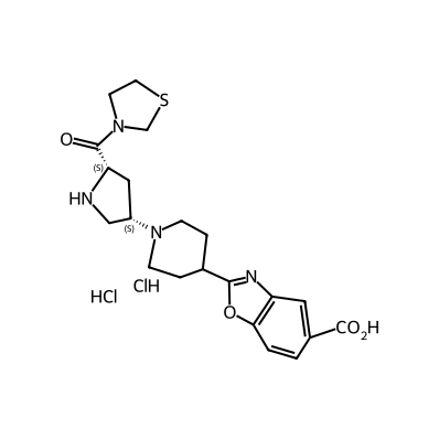 Cl.Cl.O=C(O)c1ccc2oc(C3CCN([C@@H]4CN[C@H](C(=O)N5CCSC5)C4)CC3)nc2c1